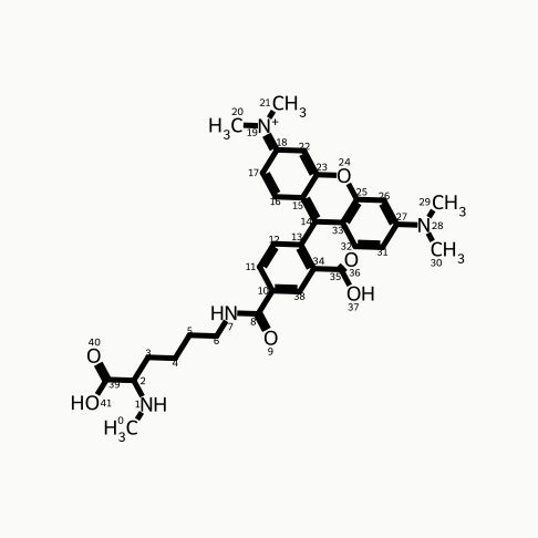 CNC(CCCCNC(=O)c1ccc(-c2c3ccc(=[N+](C)C)cc-3oc3cc(N(C)C)ccc23)c(C(=O)O)c1)C(=O)O